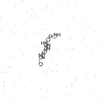 c1ccc(Cc2cnc(N3CCN(c4ncnc(Nc5ccc(O[C@H]6CCCNC6)cc5)n4)CC3)nc2)cc1